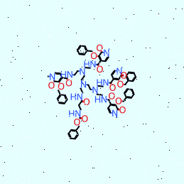 Cn1ccc(C(=O)NCCN(CCNC(=O)c2ccn(C)c(=O)c2OCc2ccccc2)CCN(CCNC(=O)CCNC(=O)OCc2ccccc2)CCN(CCNC(=O)c2ccn(C)c(=O)c2OCc2ccccc2)CCNC(=O)c2ccn(C)c(=O)c2OCc2ccccc2)c(OCc2ccccc2)c1=O